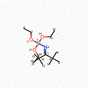 CCO[Si](N=C(C(C)(C)C)C(C)(C)C)(OCC)OCC